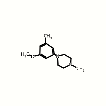 COc1cc(C)cc(N2CCN(C)CC2)c1